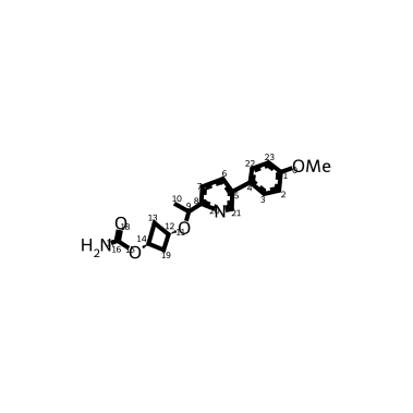 COc1ccc(-c2ccc(C(C)O[C@H]3C[C@@H](OC(N)=O)C3)nc2)cc1